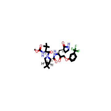 COC(=O)N[C@H](C(=O)N1C[C@H]2[C@@H]([C@H]1C(=O)N[C@@H](C[C@@H]1CCNC1=O)C(=O)COc1cccc(C(F)(F)F)c1)C2(C)C)C(C)(C)C